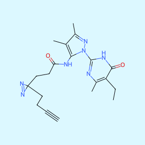 C#CCCC1(CCC(=O)Nc2c(C)c(C)nn2-c2nc(C)c(CC)c(=O)[nH]2)N=N1